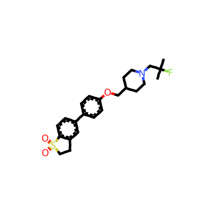 CC(C)(F)CN1CCC(COc2ccc(-c3ccc4c(c3)CCS4(=O)=O)cc2)CC1